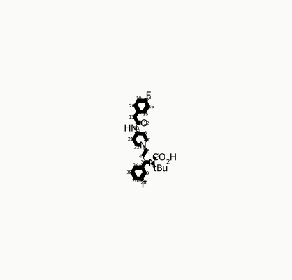 CC(C)(C)N(C(=O)O)[C@@H](CCN1CCC(NC(=O)Cc2ccc(F)cc2)CC1)c1cccc(F)c1